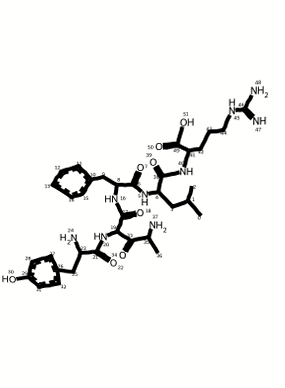 CC(C)CC(NC(=O)C(Cc1ccccc1)NC(=O)C(NC(=O)C(N)Cc1ccc(O)cc1)C(=O)C(C)N)C(=O)NC(CCCNC(=N)N)C(=O)O